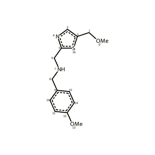 COCc1cnc(CNCc2ccc(OC)cc2)s1